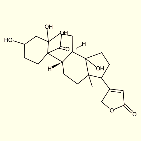 CC12CC[C@H]3[C@@H](CCC4(O)CC(O)CCC34C(=O)O)C1(O)CCC2C1=CC(=O)OC1